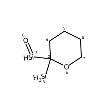 O=[SiH]C1([SiH3])CCCCO1